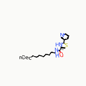 CCCCCCCCCCCCCCCCCCNC(=O)[C@@H]1CSC(c2cccnc2)N1